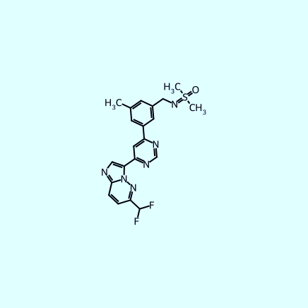 Cc1cc(CN=S(C)(C)=O)cc(-c2cc(-c3cnc4ccc(C(F)F)nn34)ncn2)c1